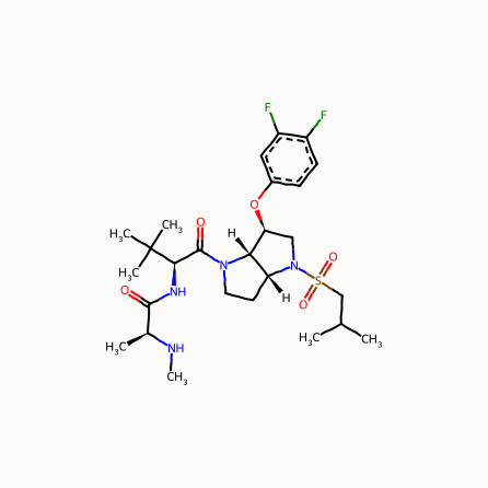 CN[C@@H](C)C(=O)N[C@H](C(=O)N1CC[C@@H]2[C@H]1[C@@H](Oc1ccc(F)c(F)c1)CN2S(=O)(=O)CC(C)C)C(C)(C)C